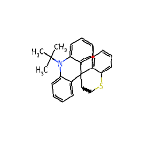 CC(C)(C)N1c2ccccc2C2(c3ccccc3Sc3ccccc32)c2ccccc21